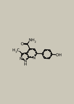 Cc1n[nH]c2nc(-c3ccc(O)cc3)cc(C(N)=O)c12